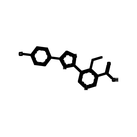 CCc1c(C(=O)O)cncc1-c1nc(-c2ccc(Cl)cc2)cs1